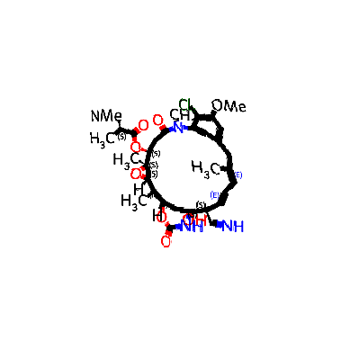 CN[C@@H](C)C(=O)O[C@H]1CC(=O)N(C)c2cc(cc(OC)c2Cl)C/C(C)=C/C=C/[C@@H](C=N)[C@@]2(O)C[C@H](OC(=O)N2)[C@@H](C)[C@@H]2O[C@@]12C